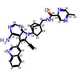 C#Cc1c(-c2cnc3ccccc3c2)c2c(N)ncnc2n1C12CCC(CNC(=O)c3cnc(C)cn3)(CC1)C2